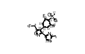 Cc1nc(-c2noc(CF)c2-c2cc(F)c(S(C)(=O)=O)c(F)c2)cs1